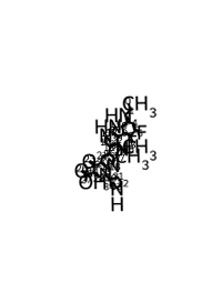 CCNc1cc(F)c(F)c2c1[nH]c1ncc(-c3cnc4c(c3)c(=O)c(C(=O)O)cn4C3CCNC3)c(N(C)C)c12